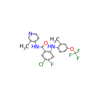 Cc1cnccc1NC(=O)c1cc(Cl)c(F)cc1Nc1ccc(OC(F)(F)F)cc1C